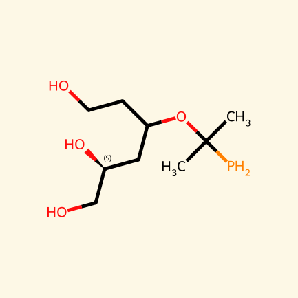 CC(C)(P)OC(CCO)C[C@H](O)CO